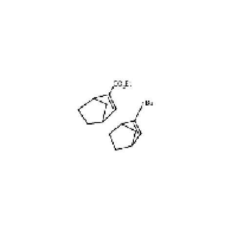 CCCCC1=CC2CCC1C2.CCOC(=O)C1=CC2CCC1C2